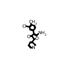 Cc1ccc(C2=C(N)OC(c3cccnc3)C2=O)cc1Cl